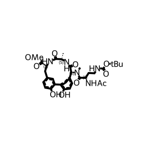 COC(=O)[C@@H]1Cc2ccc(O)c(c2)-c2cc(ccc2O)[C@H](N(C)C(=O)[C@H](CCNC(=O)OC(C)(C)C)NC(C)=O)C(=O)N[C@@H](C)C(=O)N1